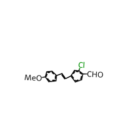 COc1ccc(C=Cc2ccc(C=O)c(Cl)c2)cc1